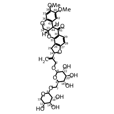 C=C(CO[C@@H]1O[C@H](CO[C@@H]2OC[C@H](O)[C@H](O)[C@H]2O)[C@@H](O)[C@H](O)[C@H]1O)[C@H]1Cc2c(ccc3c2O[C@@H]2COc4cc(OC)c(OC)cc4[C@@H]2C3=O)O1